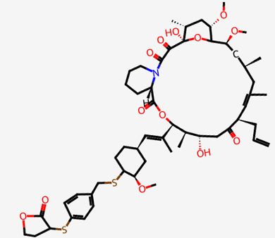 C=CC[C@@H]1/C=C(\C)C[C@H](C)C[C@H](OC)C2O[C@@](O)(C(=O)C(=O)N3CCCC[C@H]3C(=O)O[C@H](/C(C)=C/[C@@H]3CCC(SCc4ccc(SC5CCOC5=O)cc4)[C@H](OC)C3)[C@H](C)[C@@H](O)CC1=O)[C@H](C)C[C@@H]2OC